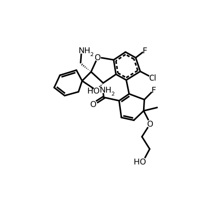 CC1(OCCO)C=CC(C(N)=O)=C(c2c(Cl)c(F)cc3c2[C@H](O)[C@@](CN)(C2(C)C=CC=CC2)O3)C1F